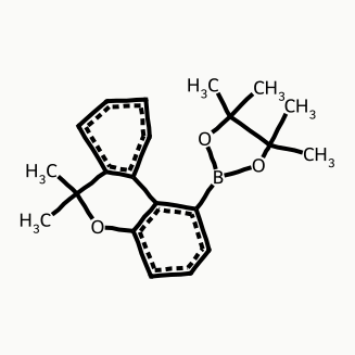 CC1(C)Oc2cccc(B3OC(C)(C)C(C)(C)O3)c2-c2ccccc21